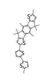 Cc1ccc(-c2ccc(-c3cc4c(s3)-c3c(C)c5c(c(C)c3C4(C)C)-c3sc(C)cc3C5(C)C)s2)s1